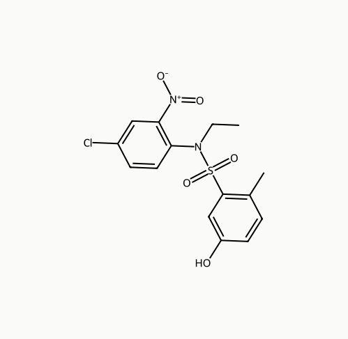 CCN(c1ccc(Cl)cc1[N+](=O)[O-])S(=O)(=O)c1cc(O)ccc1C